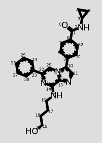 O=C(NC1CC1)c1ccc(-c2cnc3c(NCCCCO)nc(-c4ccccc4)cn23)cc1